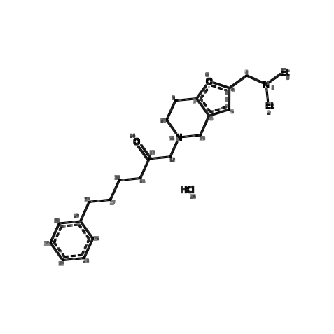 CCN(CC)Cc1cc2c(o1)CCN(CC(=O)CCCCc1ccccc1)C2.Cl